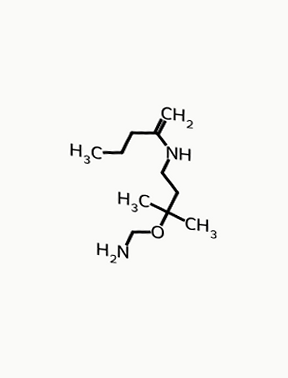 C=C(CCC)NCCC(C)(C)OCN